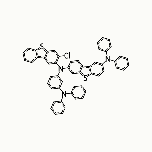 Clc1cc2sc3ccccc3c2cc1N(c1cccc(N(c2ccccc2)c2ccccc2)c1)c1ccc2c(c1)sc1ccc(N(c3ccccc3)c3ccccc3)cc12